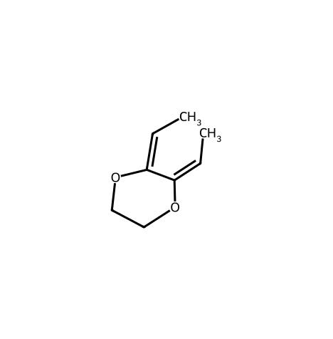 C/C=C1/OCCO/C1=C/C